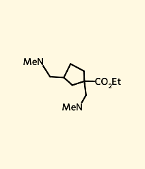 CCOC(=O)C1(CNC)CCC(CNC)C1